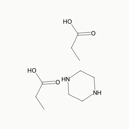 C1CNCCN1.CCC(=O)O.CCC(=O)O